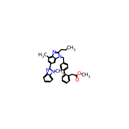 CCCc1nc2c(C)cc(-c3nc4ccccc4n3C)cc2n1Cc1ccc(-c2ccccc2CC(=O)OC)cc1